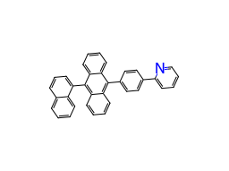 c1ccc(-c2ccc(-c3c4ccccc4c(-c4cccc5ccccc45)c4ccccc34)cc2)nc1